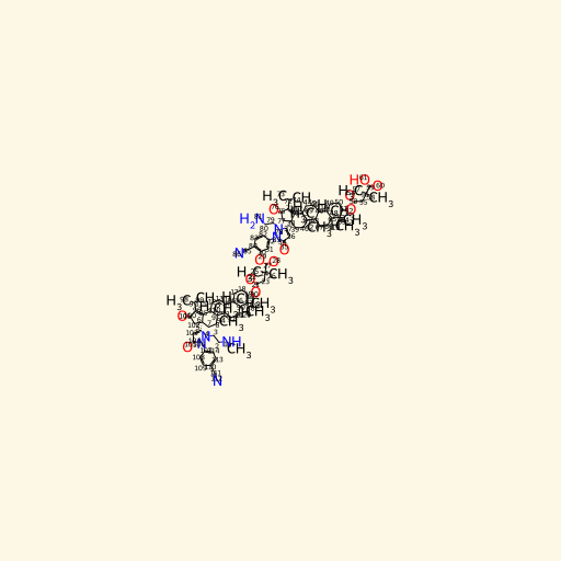 CNCCn1c([C@@]23CC[C@]4(C)[C@H](CC[C@@H]5[C@@]6(C)CC[C@H](OC(=O)CC(C)(C)C(=O)Oc7cc(-n8c(=O)cc([C@@]9%10CC[C@]%11(C)[C@H](CC[C@@H]%12[C@@]%13(C)CC[C@H](OC(=O)CC(C)(C)C(=O)O)C(C)(C)[C@@H]%13CC[C@]%12%11C)C9=C(C(C)C)C(=O)C%10)n8CCN)ccc7C#N)C(C)(C)[C@@H]6CC[C@]54C)C2=C(C(C)C)C(=O)C3)cc(=O)n1-c1ccc(C#N)cc1